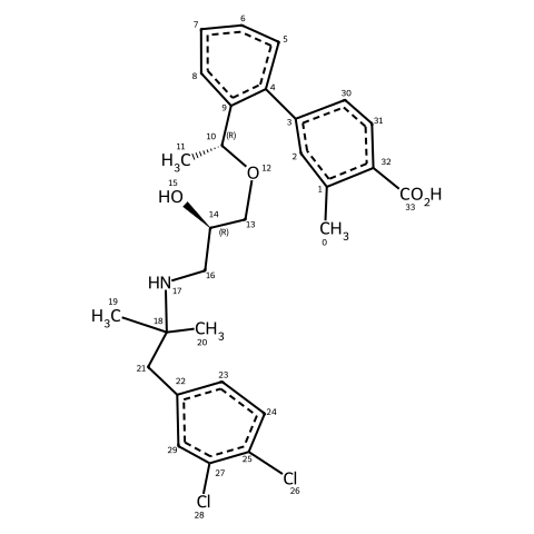 Cc1cc(-c2ccccc2[C@@H](C)OC[C@H](O)CNC(C)(C)Cc2ccc(Cl)c(Cl)c2)ccc1C(=O)O